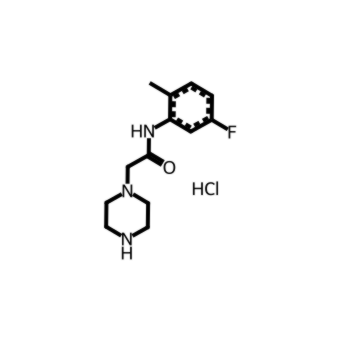 Cc1ccc(F)cc1NC(=O)CN1CCNCC1.Cl